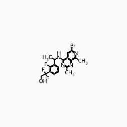 Cc1nc(NC(C)c2cccc(C(F)(F)CO)c2F)c2cc(Br)nc(C)c2n1